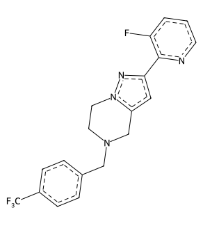 Fc1cccnc1-c1cc2n(n1)CCN(Cc1ccc(C(F)(F)F)cc1)C2